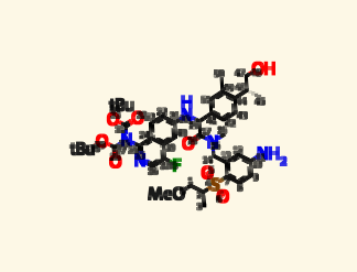 COC[C@H](C)S(=O)(=O)c1ccc(N)cc1CN(C)C(=O)C(Nc1ccc2c(N(C(=O)OC(C)(C)C)C(=O)OC(C)(C)C)ncc(F)c2c1)c1ccc([C@@H](C)CO)c(C)c1